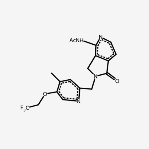 CC(=O)Nc1nccc2c1CN(Cc1cc(C)c(OCC(F)(F)F)cn1)C2=O